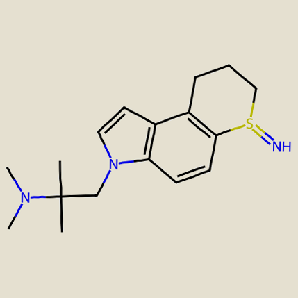 CN(C)C(C)(C)Cn1ccc2c3c(ccc21)S(=N)CCC3